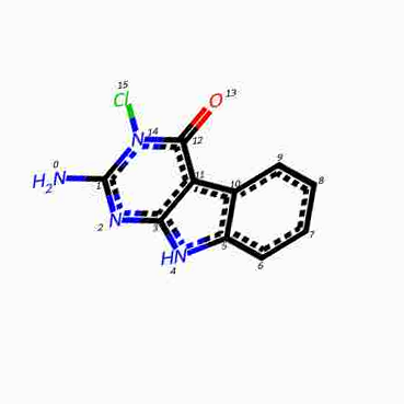 Nc1nc2[nH]c3ccccc3c2c(=O)n1Cl